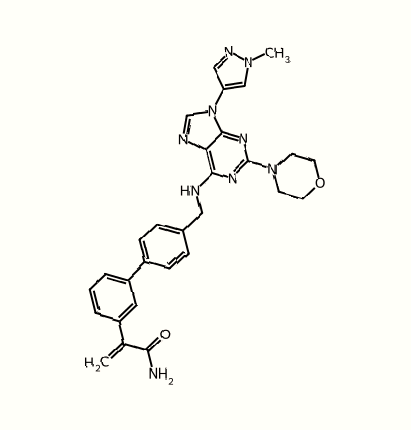 C=C(C(N)=O)c1cccc(-c2ccc(CNc3nc(N4CCOCC4)nc4c3ncn4-c3cnn(C)c3)cc2)c1